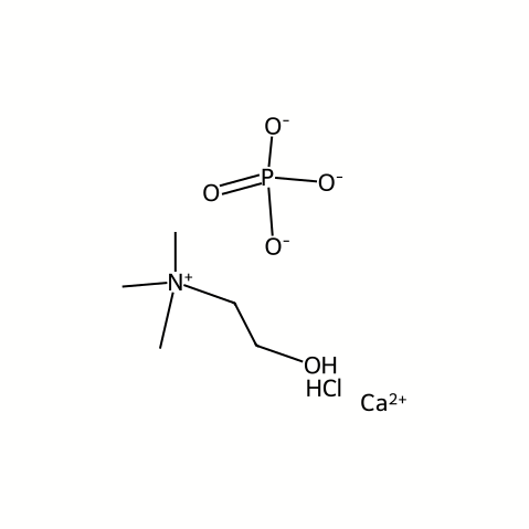 C[N+](C)(C)CCO.Cl.O=P([O-])([O-])[O-].[Ca+2]